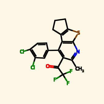 Cc1nc2sc3c(c2c(-c2ccc(Cl)c(Cl)c2)c1C(=O)C(F)(F)F)CCC3